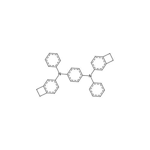 c1ccc(N(c2ccc(N(c3ccccc3)c3ccc4c(c3)CC4)cc2)c2ccc3c(c2)CC3)cc1